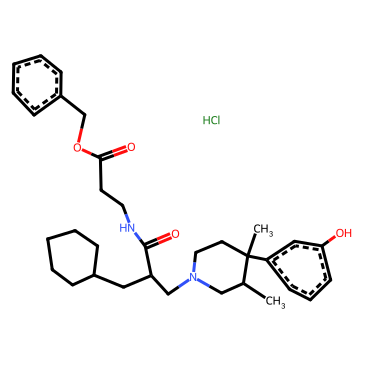 CC1CN(CC(CC2CCCCC2)C(=O)NCCC(=O)OCc2ccccc2)CCC1(C)c1cccc(O)c1.Cl